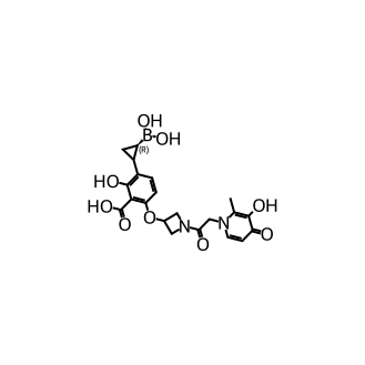 Cc1c(O)c(=O)ccn1CC(=O)N1CC(Oc2ccc(C3C[C@H]3B(O)O)c(O)c2C(=O)O)C1